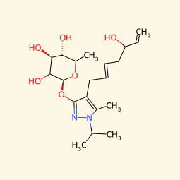 C=CC(O)C/C=C/Cc1c(O[C@@H]2OC(C)[C@@H](O)[C@H](O)C2O)nn(C(C)C)c1C